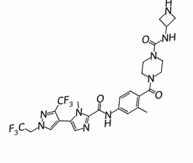 Cc1cc(NC(=O)c2ncc(-c3cn(CC(F)(F)F)nc3C(F)(F)F)n2C)ccc1C(=O)N1CCN(C(=O)NC2CNC2)CC1